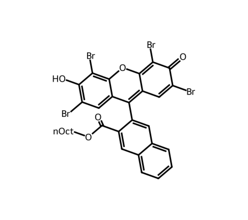 CCCCCCCCOC(=O)c1cc2ccccc2cc1-c1c2cc(Br)c(=O)c(Br)c-2oc2c(Br)c(O)c(Br)cc12